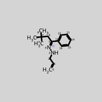 C=CCN/N=C(/CC(C)(C)C)c1ccccc1